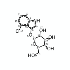 OC[C@H]1O[C@H](Oc2c[nH]c3cccc(Cl)c23)[C@H](O)[C@@H](O)[C@H]1O